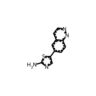 Nc1ncc(-c2ccc3nnccc3c2)s1